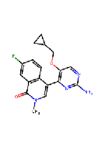 Cn1cc(-c2nc(N)ncc2OCC2CC2)c2ccc(F)cc2c1=O